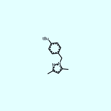 Cc1cc(C)n(Cc2c[c]c(C(C)(C)C)cc2)n1